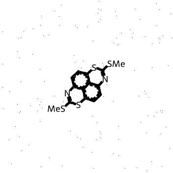 CSC1=Nc2ccc3c4c(ccc(c24)S1)N=C(SC)S3